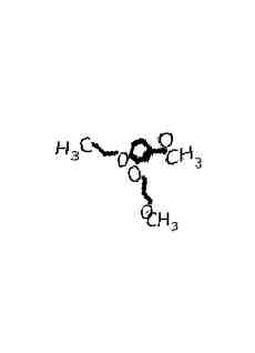 CCCCOc1ccc(C(C)=O)cc1OCCCOC